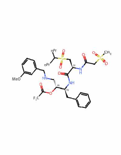 CCCC(CCC)S(=O)(=O)C[C@@H](NC(=O)CS(C)(=O)=O)C(=O)N[C@@H](Cc1ccccc1)[C@@H](CNCc1cccc(OC)c1)OC(=O)C(F)(F)F